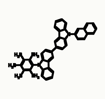 Bc1c(B)c(B)c(-n2c3ccccc3c3cc(-c4ccc5c(c4)c4ccccc4n5-c4ccc5ccccc5c4)ccc32)c(B)c1B